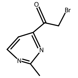 Cc1nccc(C(=O)CBr)n1